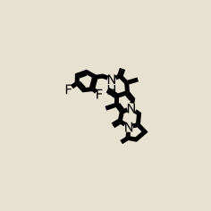 C=C1C(C(C)C(=C)NCc2ccc(F)cc2F)=CN2CC3CCC(C)N3C(=C)C2=C1C